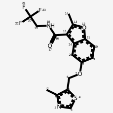 Cc1ncsc1COc1ccc2oc(C)c(C(=O)NCC(F)(F)F)c2c1